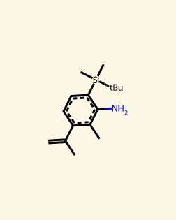 C=C(C)c1ccc([Si](C)(C)C(C)(C)C)c(N)c1C